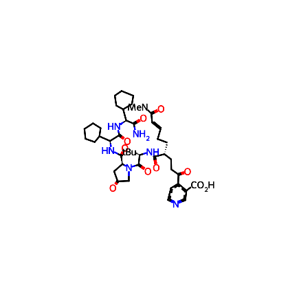 CNC(=O)/C=C/CC[C@H](CCC(=O)c1ccncc1C(=O)O)C(=O)N[C@H](C(=O)N1CC(=O)C[C@H]1C(=O)N[C@H](C(=O)N[C@H](C(N)=O)C1CCCCC1)C1CCCCC1)C(C)(C)C